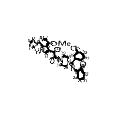 COc1cnc(-n2cncn2)c2[nH]cc(C(=O)C(=O)N3CCN(C4=Nc5ccccc5Oc5ccc(Cl)cc54)CC3)c12